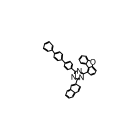 c1ccc(-c2ccc(-c3ccc(-c4nc(-c5ccc6ccccc6c5)nc(-c5cccc6oc7ccccc7c56)n4)cc3)cc2)cc1